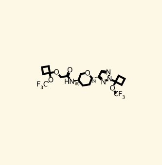 O=C(COC1(OC(F)(F)F)CCC1)N[C@@H]1CC[C@@H](c2cnn(C3(OC(F)(F)F)CCC3)n2)OC1